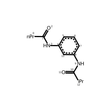 CCCC(=O)Nc1cccc(NC(=O)C(C)C)c1